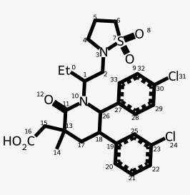 CCC(CN1CCCS1(=O)=O)N1C(=O)C(C)(CC(=O)O)CC(c2cccc(Cl)c2)C1c1ccc(Cl)cc1